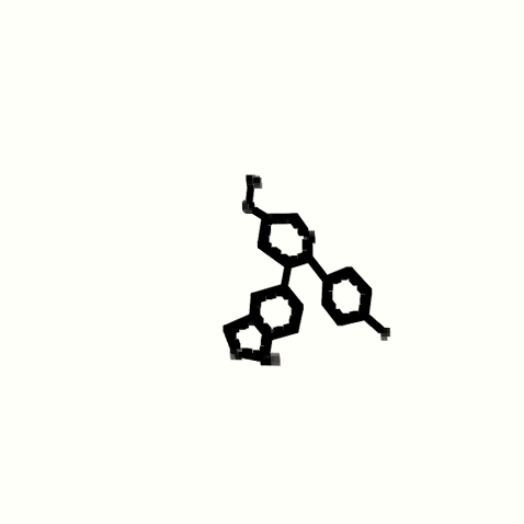 CCOc1cnc(-c2ccc(F)cc2)c(-c2ccc3[nH]ncc3c2)c1